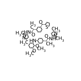 COc1cccc(Nc2ccc(C(C)C(=O)Nc3cc(C)nn3C)cc2)c1OC.Cc1cc(NC(=O)C(C)c2cccc(C(=O)c3cccs3)c2)n(C)n1